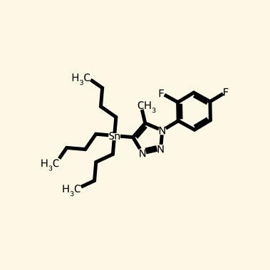 CCC[CH2][Sn]([CH2]CCC)([CH2]CCC)[c]1nnn(-c2ccc(F)cc2F)c1C